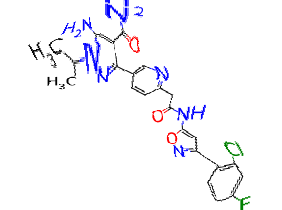 CC(C)n1nc(-c2ccc(CC(=O)Nc3cc(-c4ccc(F)cc4Cl)no3)nc2)c(C(N)=O)c1N